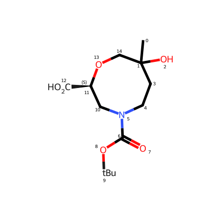 CC1(O)CCN(C(=O)OC(C)(C)C)C[C@@H](C(=O)O)OC1